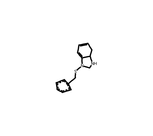 C1=CCC2NCN(SCc3ccccc3)C2=C1